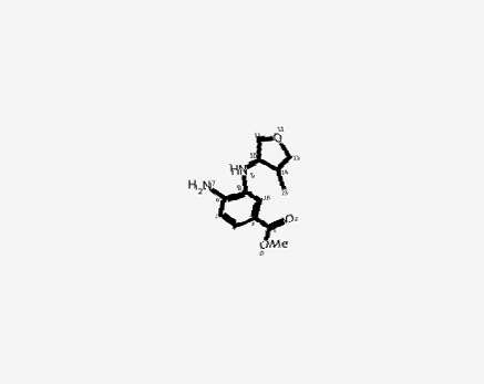 COC(=O)c1ccc(N)c(NC2COCC2C)c1